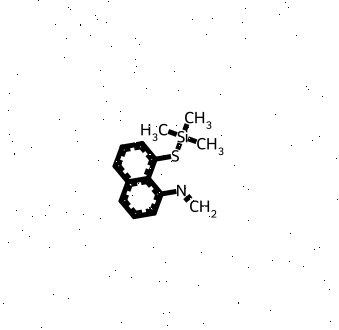 C=Nc1cccc2cccc(S[Si](C)(C)C)c12